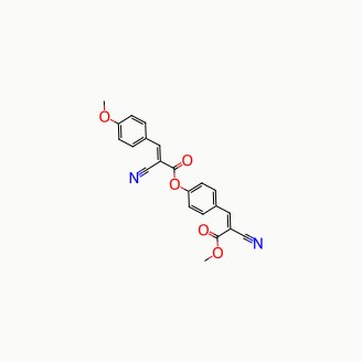 COC(=O)C(C#N)=Cc1ccc(OC(=O)C(C#N)=Cc2ccc(OC)cc2)cc1